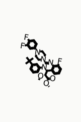 COC(=O)CC1c2cccc(F)c2N=C(N2CCN(c3ccc(F)c(F)c3)CC2)N1c1cc(C(C)(C)C)ccc1OC